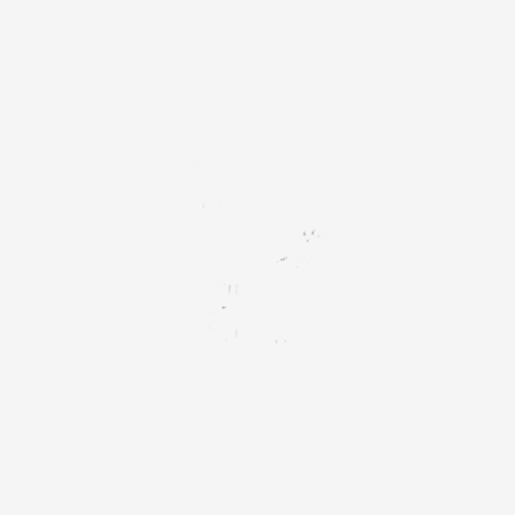 COC(=O)[C@@H]1C=C2C[C@@H](OC(=O)CO)CC[C@]2(C)C2C1C1CCC(=O)[C@@]1(C)C[C@H]2OC(=O)CO